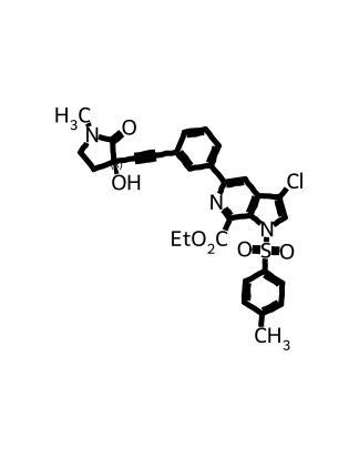 CCOC(=O)c1nc(-c2cccc(C#C[C@]3(O)CCN(C)C3=O)c2)cc2c(Cl)cn(S(=O)(=O)c3ccc(C)cc3)c12